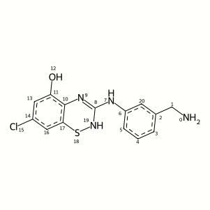 NCc1cccc(NC2=Nc3c(O)cc(Cl)cc3SN2)c1